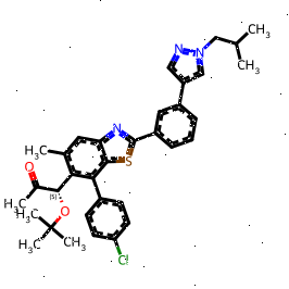 CC(=O)[C@@H](OC(C)(C)C)c1c(C)cc2nc(-c3cccc(-c4cnn(CC(C)C)c4)c3)sc2c1-c1ccc(Cl)cc1